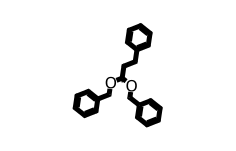 c1ccc(CC[C](OCc2ccccc2)OCc2ccccc2)cc1